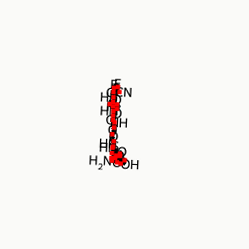 N#C[C@@H]1CC(F)(F)CN1C(=O)CNC(=O)c1ccnc2c(NC(=O)CCC(=O)NCCOCCOCCNC(=S)Nc3ccc4c(c3)C(=O)OC43c4ccc(N)cc4Oc4cc(O)ccc43)cccc12